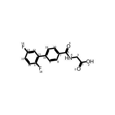 O=C(O)CNC(=O)c1ccc(-c2cc(F)ccc2F)cc1